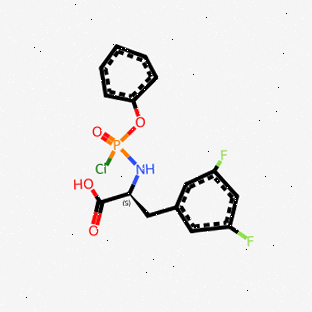 O=C(O)[C@H](Cc1cc(F)cc(F)c1)NP(=O)(Cl)Oc1ccccc1